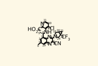 Cc1cc([C@@H](C)Nc2c(Cl)ccnc2C(=O)O)c2nc(N3CC4C[C@@]4(C(F)(F)F)C3)c(C#N)nc2c1